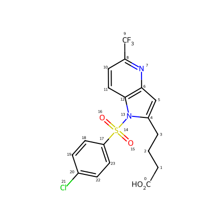 O=C(O)CCCc1cc2nc(C(F)(F)F)ccc2n1S(=O)(=O)c1ccc(Cl)cc1